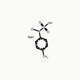 Cc1ccc(N(Cl)S(=O)(=O)O)cc1.[NaH]